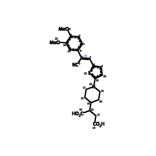 COc1ccc(/C(C#N)=C/c2ccc(N3CCC(C(CC(=O)O)C(=O)O)CC3)s2)cc1OC